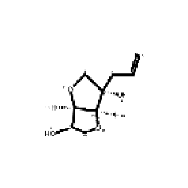 C=CC[C@]1(O)CO[C@@H]2[C@H](O)CO[C@@H]21